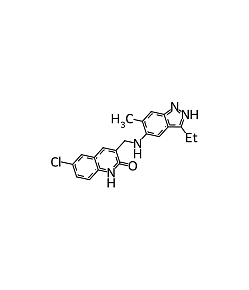 CCc1[nH]nc2cc(C)c(NCc3cc4cc(Cl)ccc4[nH]c3=O)cc12